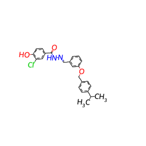 CC(C)c1ccc(COc2cccc(/C=N/NC(=O)c3ccc(O)c(Cl)c3)c2)cc1